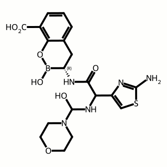 Nc1nc(C(NC(O)N2CCOCC2)C(=O)N[C@H]2Cc3cccc(C(=O)O)c3OB2O)cs1